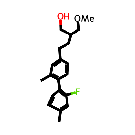 COCC(CO)CCc1ccc(-c2ccc(C)cc2F)c(C)c1